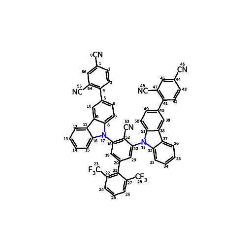 N#Cc1ccc(-c2ccc3c(c2)c2ccccc2n3-c2cc(-c3c(C(F)(F)F)cccc3C(F)(F)F)cc(-n3c4ccccc4c4cc(-c5ccc(C#N)cc5C#N)ccc43)c2C#N)c(C#N)c1